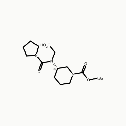 CC(C)(C)OC(=O)N1CCC[C@H](N(CC(=O)O)C(=O)N2CCCC2)C1